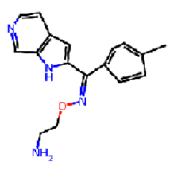 Cc1ccc(/C(=N/OCCN)c2cc3ccncc3[nH]2)cc1